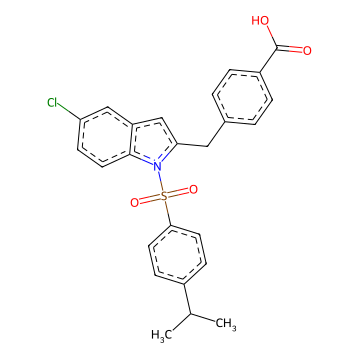 CC(C)c1ccc(S(=O)(=O)n2c(Cc3ccc(C(=O)O)cc3)cc3cc(Cl)ccc32)cc1